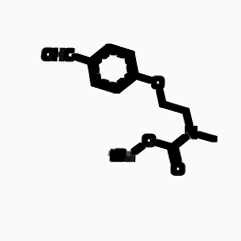 CN(CCOc1ccc(C=O)cc1)C(=O)OC(C)(C)C